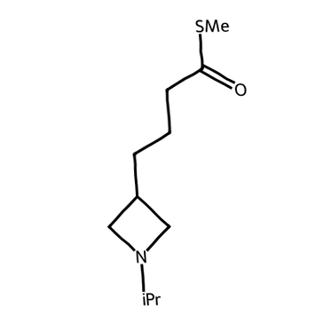 CSC(=O)CCCC1CN(C(C)C)C1